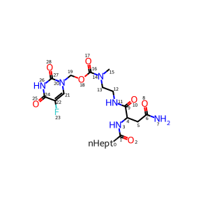 CCCCCCCC(=O)NC(CC(N)=O)C(=O)NCCN(C)C(=O)OCn1cc(F)c(=O)[nH]c1=O